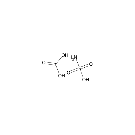 NS(=O)(=O)O.O=C(O)O